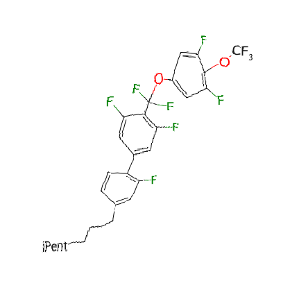 CCCC(C)CCCc1ccc(-c2cc(F)c(C(F)(F)Oc3cc(F)c(OC(F)(F)F)c(F)c3)c(F)c2)c(F)c1